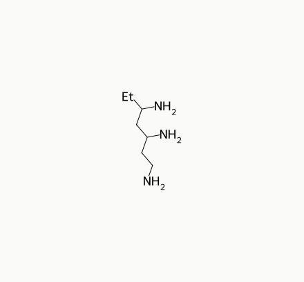 [CH2]CC(N)CC(N)CCN